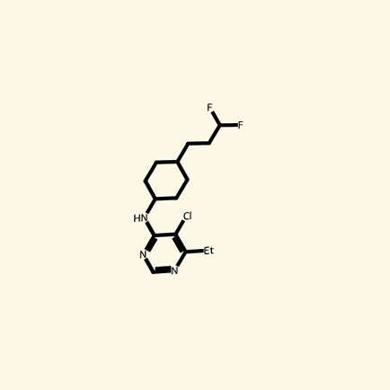 CCc1ncnc(NC2CCC(CCC(F)F)CC2)c1Cl